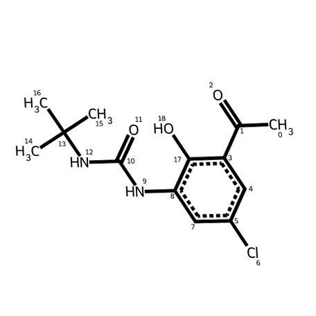 CC(=O)c1cc(Cl)cc(NC(=O)NC(C)(C)C)c1O